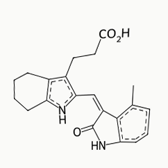 Cc1cccc2c1C(=Cc1[nH]c3c(c1CCC(=O)O)CCCC3)C(=O)N2